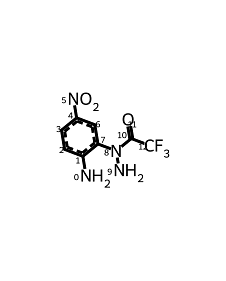 Nc1ccc([N+](=O)[O-])cc1N(N)C(=O)C(F)(F)F